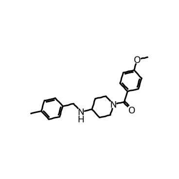 COc1ccc(C(=O)N2CCC(NCc3ccc(C)cc3)CC2)cc1